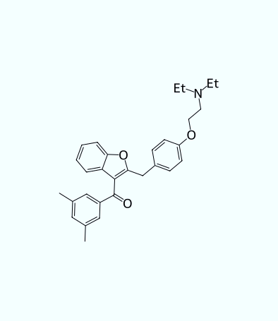 CCN(CC)CCOc1ccc(Cc2oc3ccccc3c2C(=O)c2cc(C)cc(C)c2)cc1